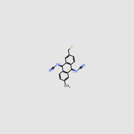 Cc1ccc2c(c1)/C(=N/C#N)c1ccc(CF)cc1/C2=N/C#N